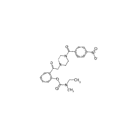 CCN(C)C(=O)Oc1ccccc1C(=O)CN1CCN(C(=O)c2ccc([N+](=O)[O-])cc2)CC1